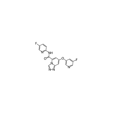 O=C(Nc1ccc(F)cn1)c1cc(Oc2cncc(F)c2)cc2nncn12